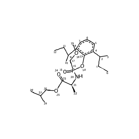 CCC(C)c1cccc(C(C)CC)c1OP(=O)(COC)N[C@@H](C)C(=O)OCC(C)C